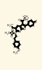 CCc1cc2c(C(=O)NC)c(-c3ccc(F)cc3)oc2nc1N(CCc1ccc(OC)cc1)S(C)(=O)=O